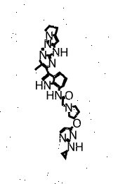 C=N/C(=N\C(=C(C)C)c1c[nH]c2c(NC(=O)CN3CC[C@H](Oc4ccnc(NC5CC5)n4)C3)cccc12)Nc1cc2n(n1)CCC2